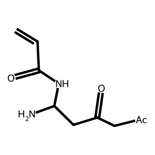 C=CC(=O)NC(N)CC(=O)CC(C)=O